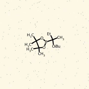 CCC(C)(OCC(C)C)B1OC(C)(C)C(C)(C)O1